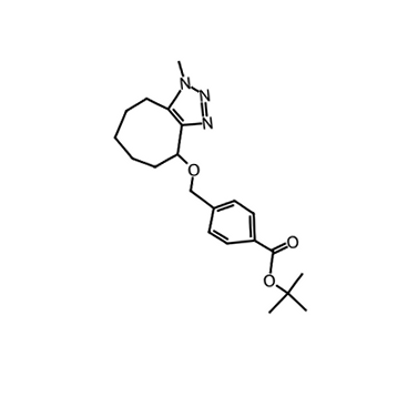 Cn1nnc2c1CCCCCC2OCc1ccc(C(=O)OC(C)(C)C)cc1